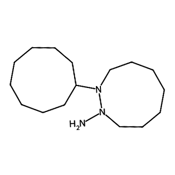 NN1CCCCCCCN1C1CCCCCCCC1